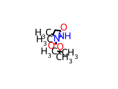 CC(C)(C)OC(=O)N1NC(=O)CC1(C)C